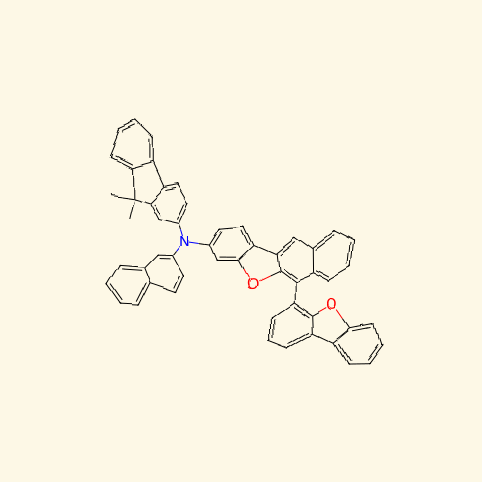 CC1(C)c2ccccc2-c2ccc(N(c3ccc4ccccc4c3)c3ccc4c(c3)oc3c(-c5cccc6c5oc5ccccc56)c5ccccc5cc34)cc21